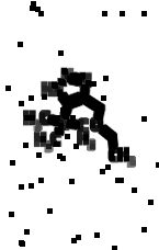 CCOCc1nn[nH]c1[Si](C)(C)C